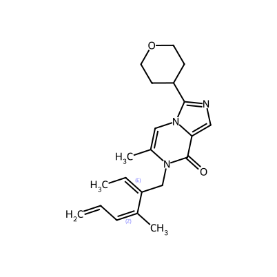 C=C/C=C(C)\C(=C/C)Cn1c(C)cn2c(C3CCOCC3)ncc2c1=O